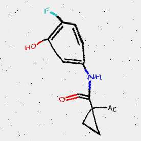 CC(=O)C1(C(=O)Nc2ccc(F)c(O)c2)CC1